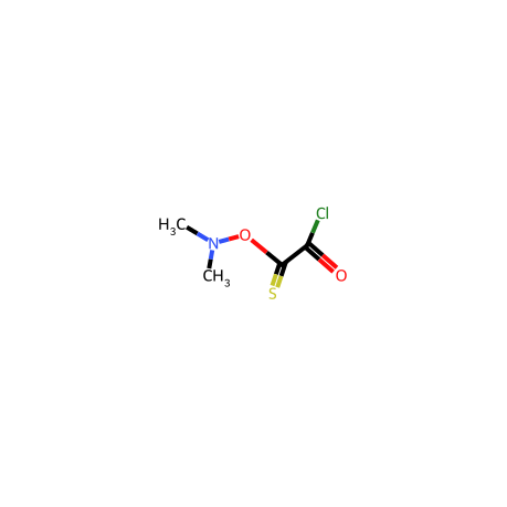 CN(C)OC(=S)C(=O)Cl